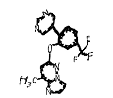 Cc1cc(Oc2cc(C(F)(F)F)ccc2-c2cncnc2)nn2ccnc12